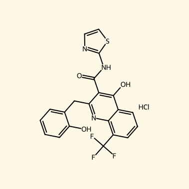 Cl.O=C(Nc1nccs1)c1c(Cc2ccccc2O)nc2c(C(F)(F)F)cccc2c1O